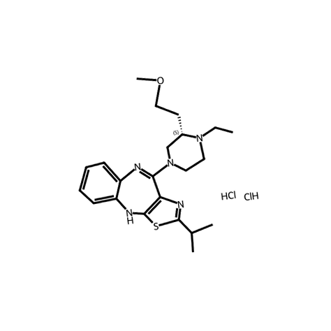 CCN1CCN(C2=Nc3ccccc3Nc3sc(C(C)C)nc32)C[C@@H]1CCOC.Cl.Cl